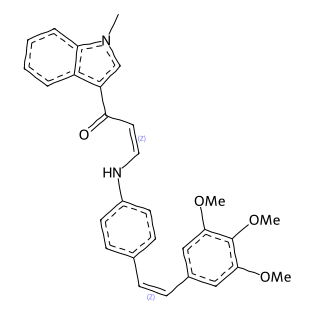 COc1cc(/C=C\c2ccc(N/C=C\C(=O)c3cn(C)c4ccccc34)cc2)cc(OC)c1OC